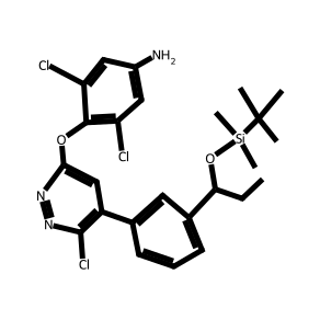 CCC(O[Si](C)(C)C(C)(C)C)c1cccc(-c2cc(Oc3c(Cl)cc(N)cc3Cl)nnc2Cl)c1